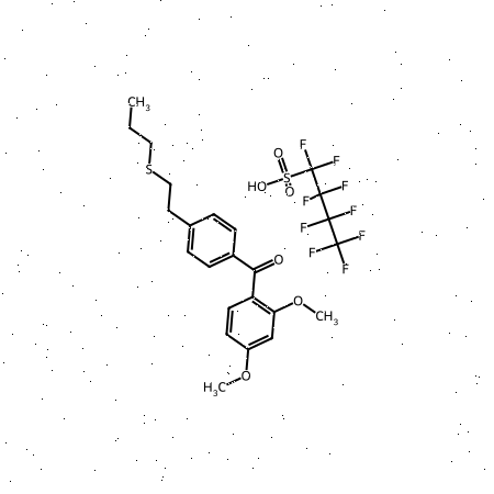 CCCSCCc1ccc(C(=O)c2ccc(OC)cc2OC)cc1.O=S(=O)(O)C(F)(F)C(F)(F)C(F)(F)C(F)(F)F